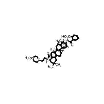 CN1CCN(CCNC(=O)[C@]23CCC(C)(C)CC2=C2CC[C@@H]4[C@@]5(C)CC[C@H](OC(=O)c6ccccc6C(=O)O)C(C)(C)[C@@H]5CC[C@@]4(C)[C@]2(C)CC3)CC1